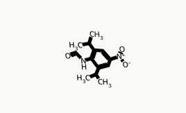 CC(C)c1cc([N+](=O)[O-])cc(C(C)C)c1NC=O